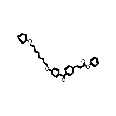 O=C(/C=C/c1ccc(C(=O)c2ccc(OCCCCCCCCOc3ccccc3)cc2)cc1)Oc1ccccc1